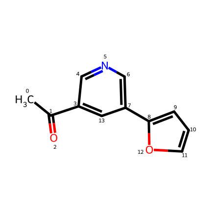 CC(=O)c1cncc(-c2ccco2)c1